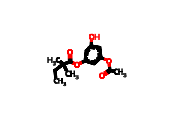 CCC(C)(C)C(=O)Oc1cc(O)cc(OC(C)=O)c1